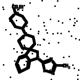 CCOC(=O)N1CCC(N2CCC3(CC2)CN(c2nc(C)ns2)c2ccccc23)CC1